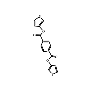 O=C(Oc1ccsc1)c1ccc(C(=O)Oc2ccsc2)cc1